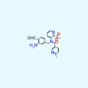 Cc1ccc(C(=O)N(Cc2ccc(C=O)c(N)c2)c2cccnc2S(C)(=O)=O)cn1